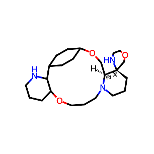 C1CNC2C3CCC(CC3)OC[C@@H]3N(CCCOC2C1)CCC[C@@]31COCCN1